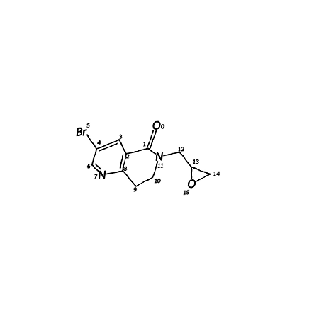 O=C1c2cc(Br)cnc2CCN1CC1CO1